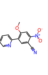 COc1cc([N+](=O)[O-])c(C#N)cc1-c1ccccn1